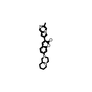 Cc1cn2cc(-c3cc4ccc(N5CCN6CCCCC6C5)cc4oc3=O)cc2cn1